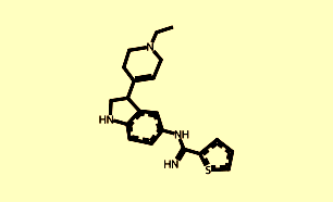 CCN1CC=C(C2CNc3ccc(NC(=N)c4cccs4)cc32)CC1